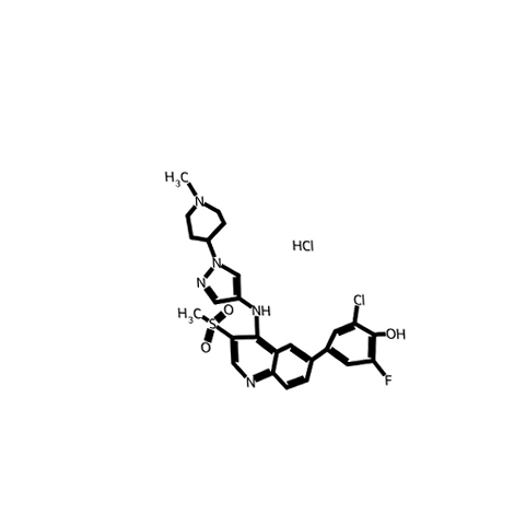 CN1CCC(n2cc(Nc3c(S(C)(=O)=O)cnc4ccc(-c5cc(F)c(O)c(Cl)c5)cc34)cn2)CC1.Cl